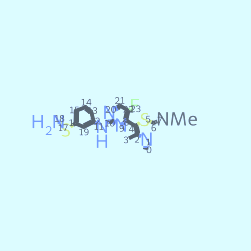 C=N/C(C)=C(\SCNC)c1nc(Nc2cccc(SN)c2)ncc1F